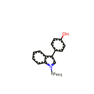 CCCCCn1cc(-c2ccc(O)cc2)c2ccccc21